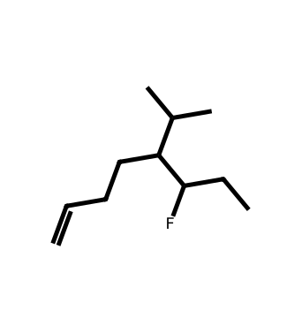 C=CCCC(C(C)C)C(F)CC